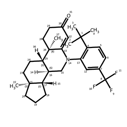 CC(C)(C)c1ccc(C(F)(F)F)cc1N1C[C@H]2[C@@H]3CCC[C@@]3(C)CC[C@@H]2[C@@]2(C)CCC(=O)C=C12